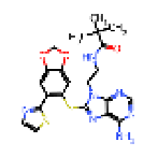 CC(C)(C)C(=O)NCCn1c(Sc2cc3c(cc2-c2nccs2)OCO3)nc2c(N)ncnc21